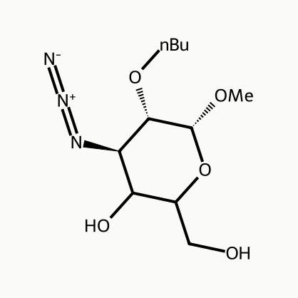 CCCCO[C@@H]1[C@H](OC)OC(CO)C(O)[C@H]1N=[N+]=[N-]